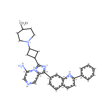 CCOC(=O)C1CCN(C2CC(c3nc(-c4ccc5ccc(-c6ccccc6)nc5c4)c4cncc(N)n34)C2)CC1